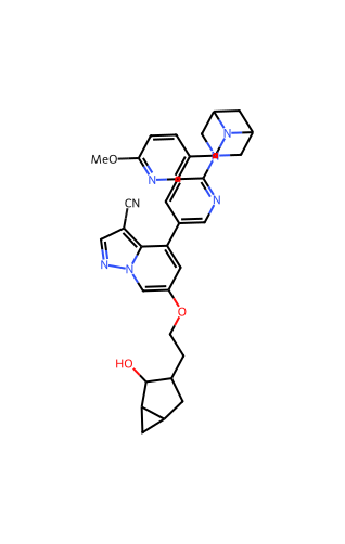 COc1ccc(CN2C3CC2CN(c2ccc(-c4cc(OCCC5CC6CC6C5O)cn5ncc(C#N)c45)cn2)C3)cn1